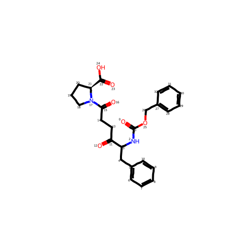 O=C(NC(Cc1ccccc1)C(=O)CCC(=O)N1CCC[C@H]1C(=O)O)OCc1ccccc1